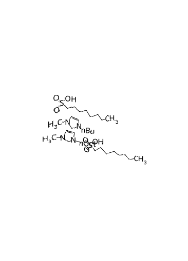 CCCCCCCCN1C=CN(C)C1.CCCCCCCCS(=O)(=O)O.CCCCCCCCS(=O)(=O)O.CCCCN1C=CN(C)C1